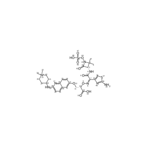 CC1(C)[C@H](NC(=O)/C(=N\O[C@@H](COc2ccc3nc(NC4CC[N+](C)(C)CC4)ccc3c2)C(=O)O)c2csc(N)n2)C(=O)N1OS(=O)(=O)O